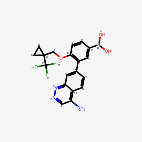 Nc1cnnc2cc(-c3cc(B(O)O)ccc3OCC3(C(F)(F)F)CC3)ccc12